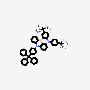 CC(C)(C)c1ccc(N2c3ccc(C(C)(C)C)cc3B3c4ccccc4N(c4ccc(C(c5ccccc5)(c5ccccc5)c5ccccc5)cc4)c4cccc2c43)cc1